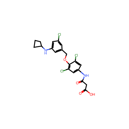 O=C(O)CC(=O)Nc1cc(Cl)c(OCc2cc(Cl)cc(NC3CCC3)c2)c(Cl)c1